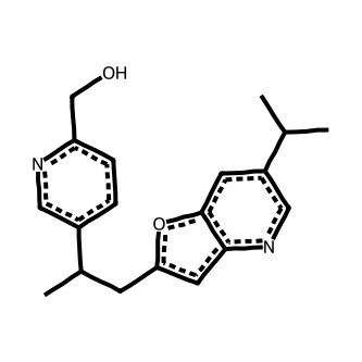 CC(C)c1cnc2cc(CC(C)c3ccc(CO)nc3)oc2c1